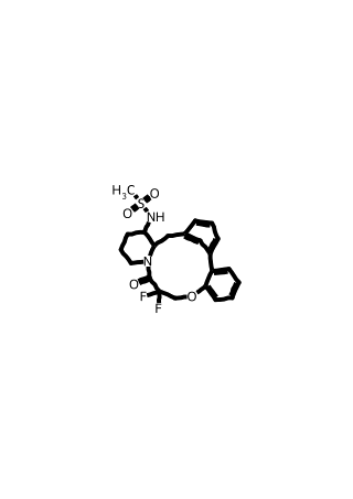 CS(=O)(=O)NC1CCCN2C(=O)C(F)(F)COc3ccccc3-c3cccc(c3)CC12